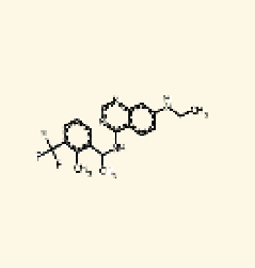 CCNc1ccc2c(NC(C)c3cccc(C(F)(F)F)c3C)ncnc2c1